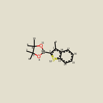 Cc1c(B2OC(C)(C)C(C)(C)O2)sc2ccccc12